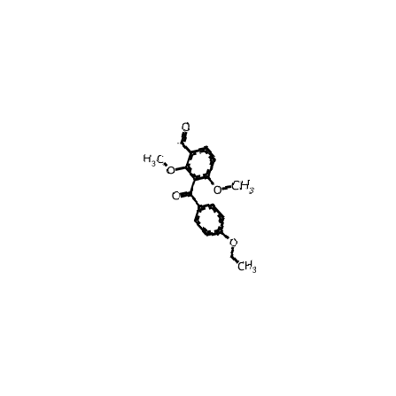 CCOc1ccc(C(=O)c2c(OC)ccc([C]=O)c2OC)cc1